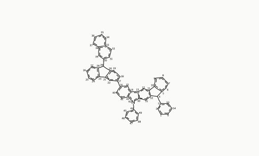 c1ccc(C2c3ccccc3-c3cc4c5cc(-c6ccc7c(c6)-c6ccccc6C7c6ccc7ccccc7c6)ccc5n(-c5ccccc5)c4cc32)cc1